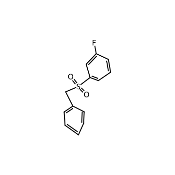 O=S(=O)(Cc1ccccc1)c1cccc(F)c1